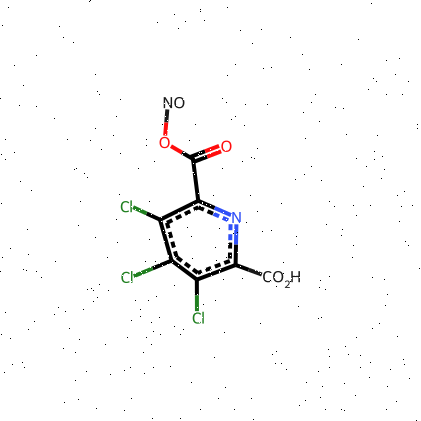 O=NOC(=O)c1nc(C(=O)O)c(Cl)c(Cl)c1Cl